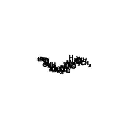 C[C@@H]1CN(C(=O)Nc2ccn(-c3ccc(CN4CCC(CNC(=O)OC(C)(C)C)CC4)cc3)c(=O)n2)CCN1